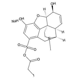 CN1CC[C@]23c4c5c(S(=O)(=O)OC(=O)CI)cc(O)c4O[C@H]2[C@@H](O)C=C[C@H]3[C@H]1C5.[NaH]